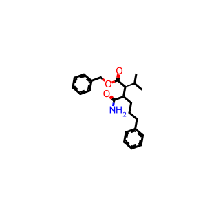 CC(C)[C@H](C(=O)OCc1ccccc1)C(CCCc1ccccc1)C(N)=O